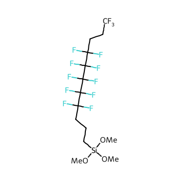 CO[Si](CCCC(F)(F)C(F)(F)C(F)(F)C(F)(F)C(F)(F)CCC(F)(F)F)(OC)OC